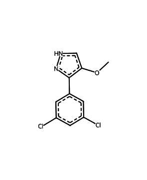 COc1c[nH]nc1-c1cc(Cl)cc(Cl)c1